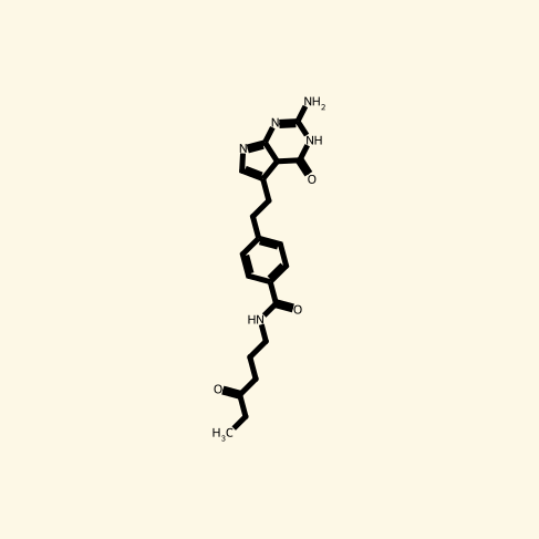 CCC(=O)CCCNC(=O)c1ccc(CCC2=CN=C3N=C(N)NC(=O)C23)cc1